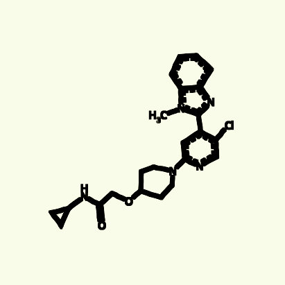 Cn1c(-c2cc(N3CCC(OCC(=O)NC4CC4)CC3)ncc2Cl)nc2ccccc21